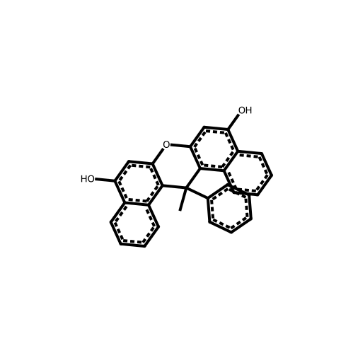 CC1(c2ccccc2)c2c(cc(O)c3ccccc23)Oc2cc(O)c3ccccc3c21